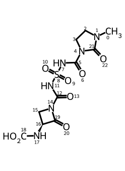 CN1CCN(C(=O)NS(=O)(=O)NC(=O)N2C[C@H](NC(=O)O)C2=O)C1=O